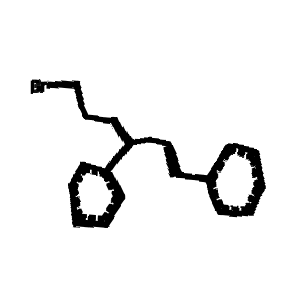 BrCCCC(C=Cc1ccccc1)c1ccccc1